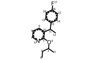 CCC(C)Oc1ncccc1C(C)c1ccc(F)cc1